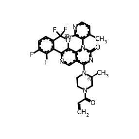 C=CC(=O)N1CCN(c2nc(=O)n(-c3c(C)ccnc3C(C)C)c3c4c(ncc23)-c2c(ccc(F)c2F)C(F)(F)O4)[C@@H](C)C1